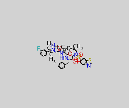 CC(C)CN(C[C@@H](O)[C@H](Cc1ccccc1)NC(=O)[C@@H](NC(=O)CNC(C)(C)c1cccc(F)c1)C(C)C)S(=O)(=O)c1ccc2ncsc2c1